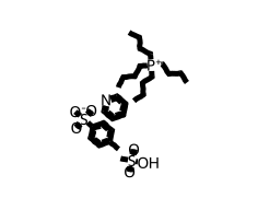 CCCC[P+](CCCC)(CCCC)CCCC.CS(=O)(=O)O.Cc1ccc(S(=O)(=O)[O-])cc1.c1ccncc1